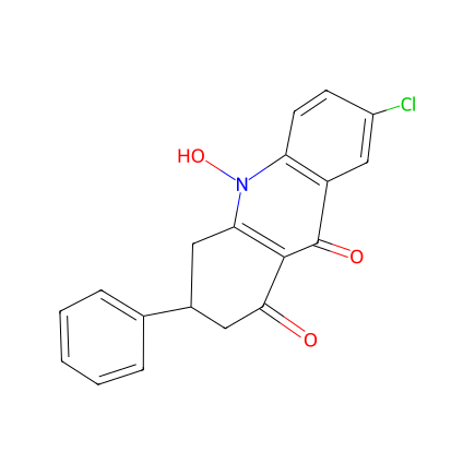 O=C1CC(c2ccccc2)Cc2c1c(=O)c1cc(Cl)ccc1n2O